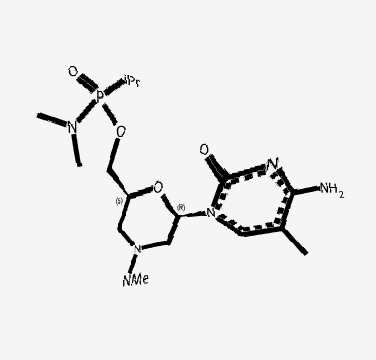 CNN1C[C@@H](COP(=O)(C(C)C)N(C)C)O[C@@H](n2cc(C)c(N)nc2=O)C1